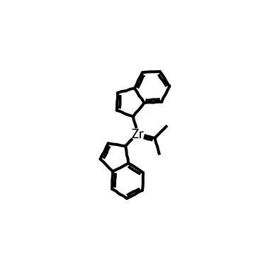 C[C](C)=[Zr]([CH]1C=Cc2ccccc21)[CH]1C=Cc2ccccc21